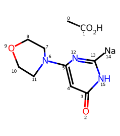 CC(=O)O.O=c1cc(N2CCOCC2)n[c]([Na])[nH]1